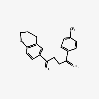 C=C(CCC(=C)c1ccc2c(c1)CCCS2)c1ccc(C(F)(F)F)cc1